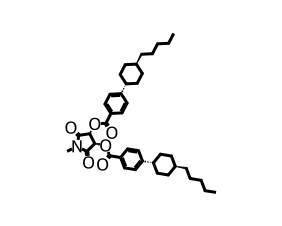 CCCCC[C@H]1CC[C@H](c2ccc(C(=O)O[C@H]3C(=O)N(C)C(=O)[C@@H]3OC(=O)c3ccc([C@H]4CC[C@H](CCCCC)CC4)cc3)cc2)CC1